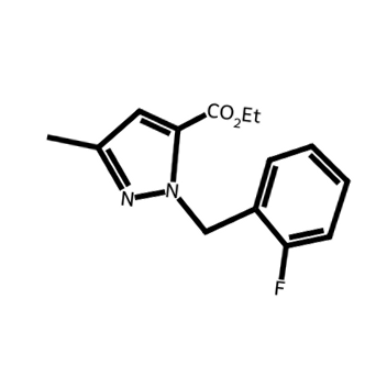 CCOC(=O)c1cc(C)nn1Cc1ccccc1F